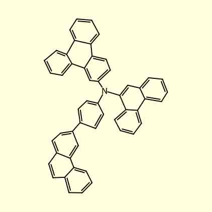 c1ccc2c(c1)ccc1ccc(-c3ccc(N(c4ccc5c6ccccc6c6ccccc6c5c4)c4cc5ccccc5c5ccccc45)cc3)cc12